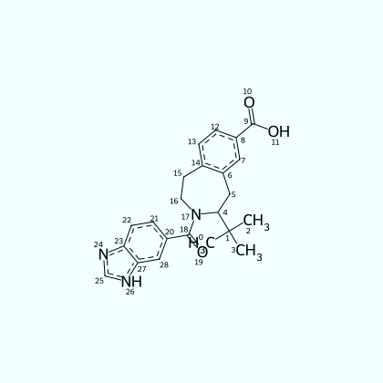 CC(C)(C)C1Cc2cc(C(=O)O)ccc2CCN1C(=O)c1ccc2nc[nH]c2c1